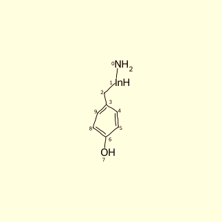 [NH2][InH][CH2]c1ccc(O)cc1